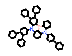 c1ccc(-c2ccc(N3c4ccccc4B4c5cc(-c6ccccc6)c(-c6ccccc6)cc5N(c5ccc(-c6ccccc6)c(-c6ccccc6)c5)c5cccc3c54)cc2)cc1